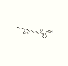 CCCCC(O)/C=C(C)/C=C/C=C/C(=O)N1CCCC1CO